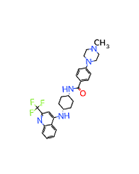 CN1CCN(c2ccc(C(=O)N[C@H]3CC[C@@H](Nc4cc(C(F)(F)F)nc5ccccc45)CC3)cc2)CC1